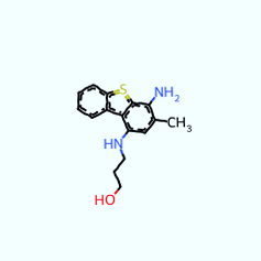 Cc1cc(NCCCO)c2c(sc3ccccc32)c1N